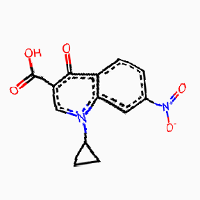 O=C(O)c1cn(C2CC2)c2cc([N+](=O)[O-])ccc2c1=O